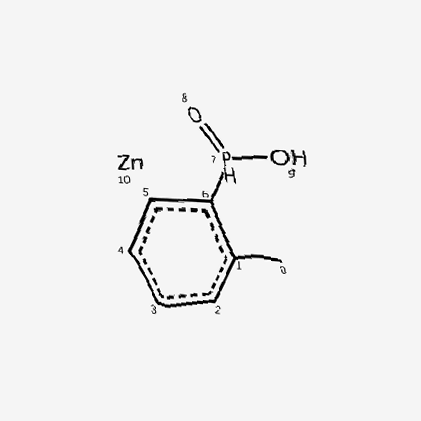 Cc1ccccc1[PH](=O)O.[Zn]